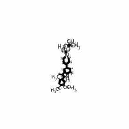 CCc1c(-c2ccc(OC)c(OC)c2)[nH]c2c(F)cc(C3CCN(C(=O)OC(C)(C)C)CC3)cc12